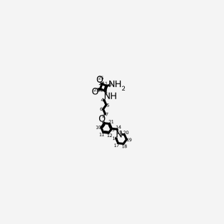 Nc1c(NCCCCOc2cccc(CN3CCCCC3)c2)c(=O)c1=O